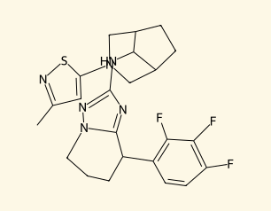 Cc1cc(N2CC3CCC(C2)C3Nc2nc3n(n2)CCCC3c2ccc(F)c(F)c2F)sn1